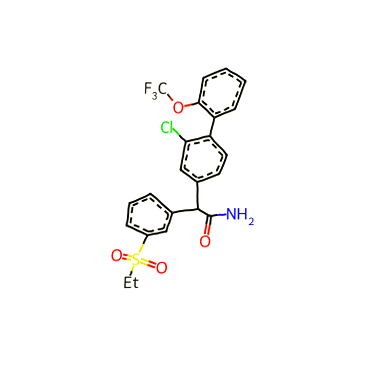 CCS(=O)(=O)c1cccc(C(C(N)=O)c2ccc(-c3ccccc3OC(F)(F)F)c(Cl)c2)c1